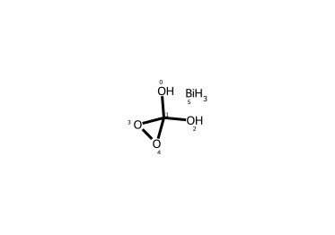 OC1(O)OO1.[BiH3]